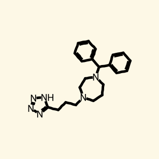 c1ccc(C(c2ccccc2)N2CCCN(CCCc3nnn[nH]3)CC2)cc1